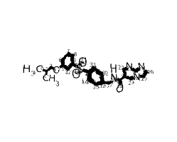 CC(C)COc1cccc(S(=O)(=O)c2ccc(CNC(=O)c3cnc4nccn4c3)cc2)c1